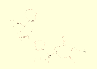 CCN1C(=O)CN(C(=O)c2ccc(C3=NOC(C)(c4cccnc4)C3)cc2C)CC1=O